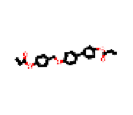 C=CC(=O)Oc1ccc(COc2ccc(-c3ccc(OC(=O)C=C)cc3)cc2)cc1